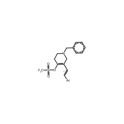 CC(=O)/C=C/C1=C(OS(=O)(=O)C(F)(F)F)CCN(Cc2ccccc2)C1